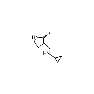 O=C1NCCC1CNC1CC1